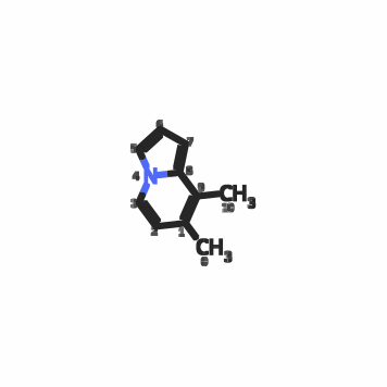 Cc1ccn2cccc2c1C